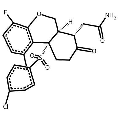 NC(=O)C[C@@H]1C(=O)CC[C@@]2(S(=O)(=O)c3ccc(Cl)cc3)c3c(F)ccc(F)c3OC[C@@H]12